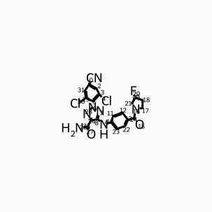 N#Cc1cc(Cl)c(-n2nc(Nc3ccc(C(=O)N4CC[C@H](F)C4)cc3)c(C(N)=O)n2)c(Cl)c1